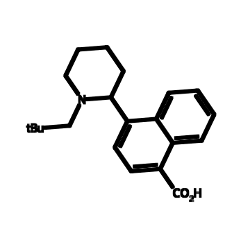 CC(C)(C)CN1CCCCC1c1ccc(C(=O)O)c2ccccc12